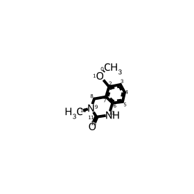 COc1cccc2c1CN(C)C(=O)N2